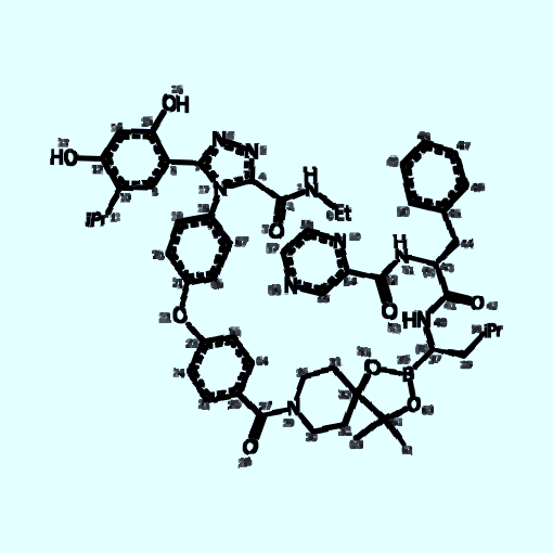 CCNC(=O)c1nnc(-c2cc(C(C)C)c(O)cc2O)n1-c1ccc(Oc2ccc(C(=O)N3CCC4(CC3)OB([C@H](CC(C)C)NC(=O)[C@H](Cc3ccccc3)NC(=O)c3cnccn3)OC4(C)C)cc2)cc1